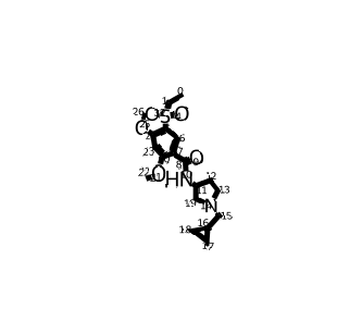 CCS(=O)(=O)c1cc(C(=O)NC2CCN(CC3CC3)C2)c(OC)cc1OC